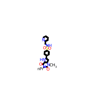 CCCn1c(=O)c2[nH]c(-c3ccc(S(=O)(=O)NCc4ccccn4)cc3)cc2n(C)c1=O